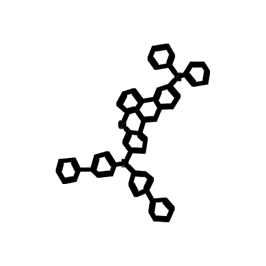 c1ccc(-c2ccc(N(c3ccc(-c4ccccc4)cc3)c3ccc4c(c3)Oc3cccc5c3c-4cc3ccc(N(c4ccccc4)c4ccccc4)cc35)cc2)cc1